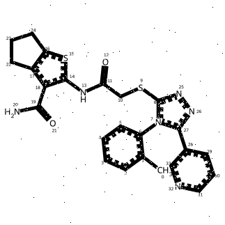 Cc1ccccc1-n1c(SCC(=O)Nc2sc3c(c2C(N)=O)CCC3)nnc1-c1cccnc1